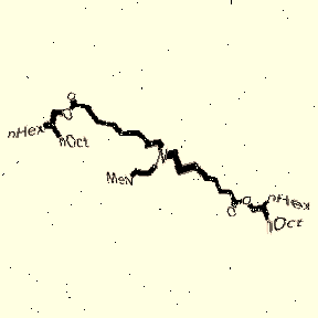 CCCCCCCCC(CCCCCC)COC(=O)CCCCCCCN(CCCCCCCC(=O)OCC(CCCCCC)CCCCCCCC)CCNC